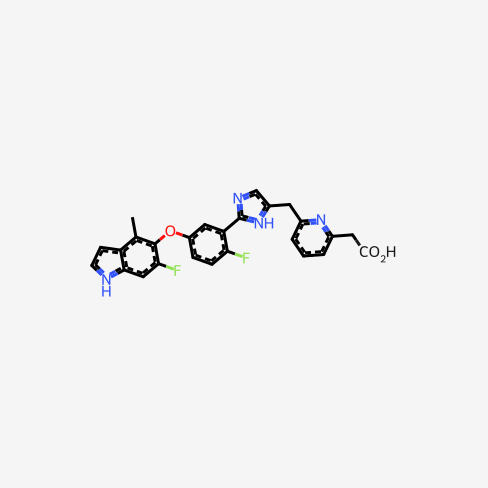 Cc1c(Oc2ccc(F)c(-c3ncc(Cc4cccc(CC(=O)O)n4)[nH]3)c2)c(F)cc2[nH]ccc12